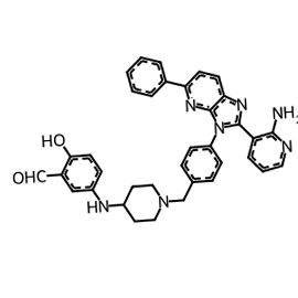 Nc1ncccc1-c1nc2ccc(-c3ccccc3)nc2n1-c1ccc(CN2CCC(Nc3ccc(O)c(C=O)c3)CC2)cc1